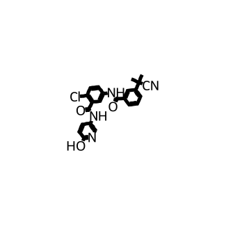 CC(C)(C#N)c1cccc(C(=O)Nc2ccc(Cl)c(C(=O)Nc3ccc(O)nc3)c2)c1